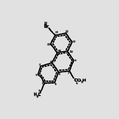 Cc1ccc2c(c1)c(C(=O)O)cc1ccc(Br)cc12